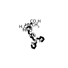 CC(NC(=O)C(C)NC(=O)Cn1cc(CN(Cc2ccccn2)Cc2ccccn2)nn1)C(=O)O